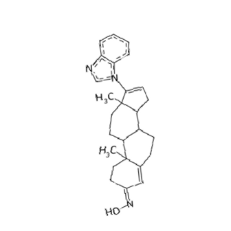 CC12CCC(=NO)C=C1CCC1C2CCC2(C)C(n3cnc4ccccc43)=CCC12